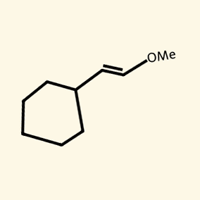 CO/C=C/C1CCCCC1